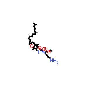 CCOC(=O)[C@H](CCCCN)NC(=O)COc1c(C)c(C)c2c(c1C)CC[C@@](C)(CCC[C@H](C)CCC[C@H](C)CCCC(C)C)O2